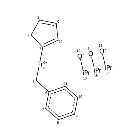 C1=CC[C]([Ti+3][CH2]c2ccccc2)=C1.CC(C)[O-].CC(C)[O-].CC(C)[O-]